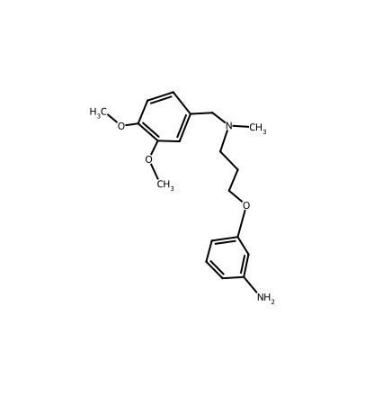 COc1ccc(CN(C)CCCOc2cccc(N)c2)cc1OC